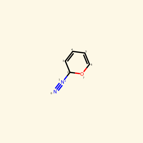 N#[N+]C1C=CC=CO1